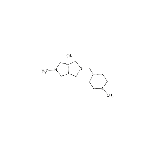 CN1CCC(CN2CC3CN(C)CC3(C)C2)CC1